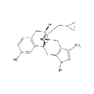 Cc1nn(C(C)C)c2c1C[C@@]1(O)[C@H]3Cc4ccc(O)cc4[C@@]1(CCN3CC1CC1)C2